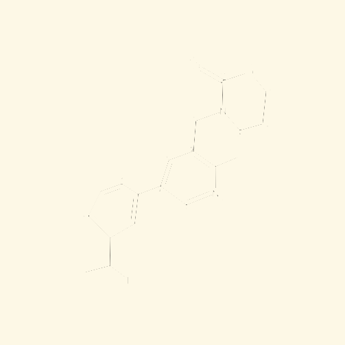 Cc1ncc(-c2cccc(C(F)F)c2)cc1CN1CCCOC1=O